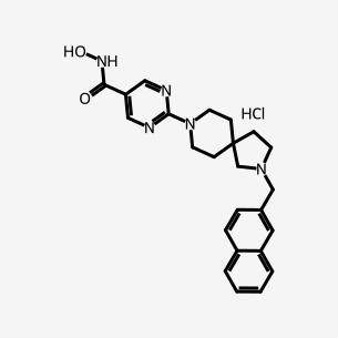 Cl.O=C(NO)c1cnc(N2CCC3(CCN(Cc4ccc5ccccc5c4)C3)CC2)nc1